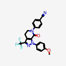 COc1ccc(-n2nc(C(F)(F)F)c3c2C(=O)N(c2ccc(C#N)cc2)CC3)cc1